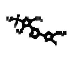 Cn1nc(C(F)(F)C(F)(F)F)c(C(F)(F)F)c1-n1cc(-c2cc(C(=O)O)c(I)s2)cn1